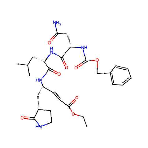 CCOC(=O)/C=C/[C@H](C[C@@H]1CCNC1=O)NC(=O)[C@H](CC(C)C)NC(=O)[C@H](CC(N)=O)NC(=O)OCc1ccccc1